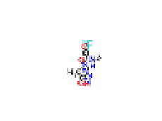 C[C@@H]1C[C@@H](O)c2ncnc(N3CCN(C(=O)[C@H](CNCC4CC4)c4ccc(OC(F)(F)F)cc4)CC3)c21